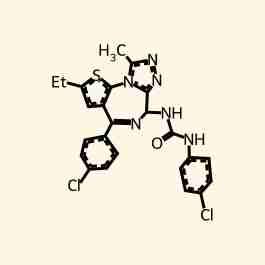 CCc1cc2c(s1)-n1c(C)nnc1C(NC(=O)Nc1ccc(Cl)cc1)N=C2c1ccc(Cl)cc1